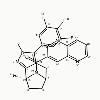 Cn1nc2c(c1-c1cc(F)c(F)c(F)c1)CC1CC[C@@H]2N1C(=O)c1cnc2cccnc2c1